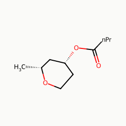 CCCC(=O)O[C@@H]1CCO[C@H](C)C1